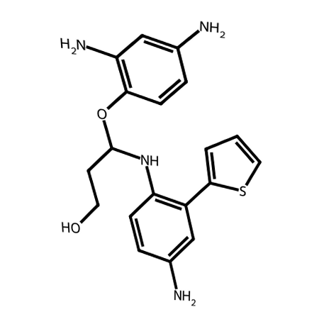 Nc1ccc(OC(CCO)Nc2ccc(N)cc2-c2cccs2)c(N)c1